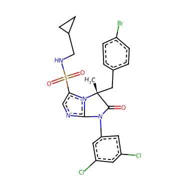 C[C@@]1(Cc2ccc(Br)cc2)C(=O)N(c2cc(Cl)cc(Cl)c2)c2ncc(S(=O)(=O)NCC3CC3)n21